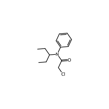 CCC(CC)N(C(=O)CCl)c1ccccc1